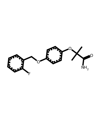 CC(C)(Oc1ccc(OCc2ccccc2F)cc1)C(N)=O